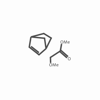 C1=CC2CCC1C2.COCC(=O)OC